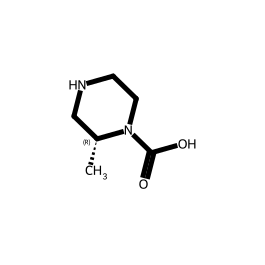 C[C@@H]1CNCCN1C(=O)O